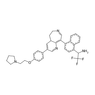 NC(c1ccc(C2=C3N=CC(c4ccc(OCCN5CCCC5)cc4)=CC3CCN=C2)c2ccccc12)C(F)(F)F